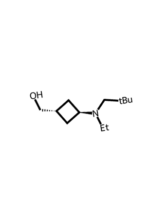 CCN(CC(C)(C)C)[C@H]1C[C@H](CO)C1